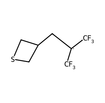 FC(F)(F)[C](CC1CSC1)C(F)(F)F